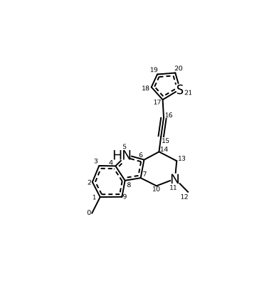 Cc1ccc2[nH]c3c(c2c1)CN(C)CC3C#Cc1cccs1